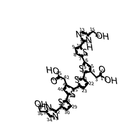 O=C(O)Cc1cc(-c2ccc(-c3ncc(CO)[nH]3)s2)sc1-c1ccc(-c2sc(-c3ccc(-c4ncc(CO)[nH]4)s3)cc2CC(=O)O)s1